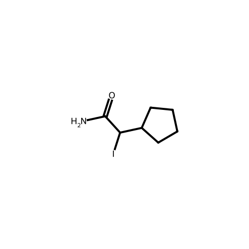 NC(=O)C(I)C1CCCC1